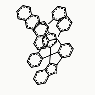 c1ccc(N(c2ccc3c(c2)-c2ccccc2C32c3c(cccc3N(c3ccccc3)c3cccc4ccccc34)-c3sc4ccccc4c32)c2ccc3ccccc3c2)cc1